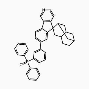 O=P(c1ccccc1)(c1ccccc1)c1cccc(-c2ccc3c(c2)C2(CC4CCC5CC4CC2C5)c2ccncc2-3)c1